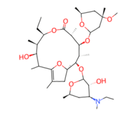 CC[C@H]1OC(=O)[C@H](C)[C@@H](OC2C[C@@](C)(OC)C[C@H](C)O2)[C@H](C)[C@@H](OC2O[C@H](C)C[C@H](N(C)CC)[C@H]2O)[C@@]2(C)CC(C)=C(O2)C(C)[C@@H](O)[C@H]1C